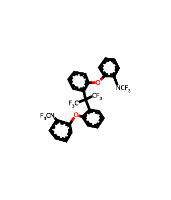 FC(F)(F)Nc1ccccc1Oc1ccccc1C(c1ccccc1Oc1ccccc1NC(F)(F)F)(C(F)(F)F)C(F)(F)F